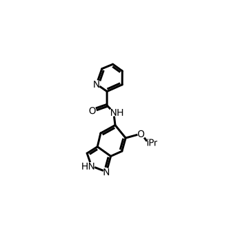 CC(C)Oc1cc2n[nH]cc2cc1NC(=O)c1ccccn1